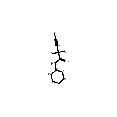 CC#CC(C)(C)C(=O)NC1CCCCC1